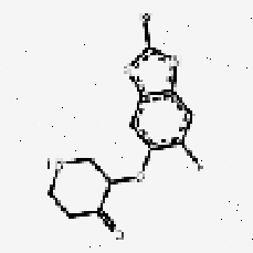 O=C1CCNCC1Oc1cc2sc(Br)nc2cc1F